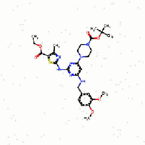 CCOC(=O)c1sc(Nc2nc(NCc3ccc(OC)c(OC)c3)cc(N3CCN(C(=O)OC(C)(C)C)CC3)n2)nc1C